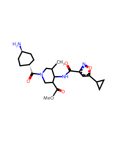 COC(=O)C1CN(C(=O)[C@H]2CC[C@H](N)CC2)CC(C)C1NC(=O)c1cc(C2CC2)on1